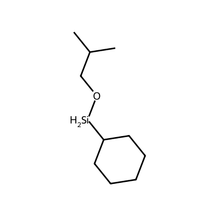 CC(C)CO[SiH2]C1CCCCC1